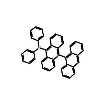 c1ccc(N(c2ccccc2)c2c3ccccc3c(-c3c4ccccc4cc4ccccc34)c3ccccc23)cc1